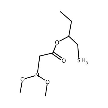 CCC(C[SiH3])OC(=O)CN(OC)OC